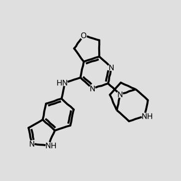 c1cc2[nH]ncc2cc1Nc1nc(N2C3CCC2CNC3)nc2c1COC2